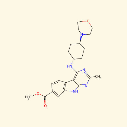 COC(=O)c1ccc2c(c1)[nH]c1nc(C)nc(N[C@H]3CC[C@H](N4CCOCC4)CC3)c12